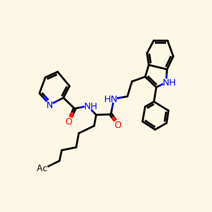 CC(=O)CCCCCC(NC(=O)c1ccccn1)C(=O)NCCc1c(-c2ccccc2)[nH]c2ccccc12